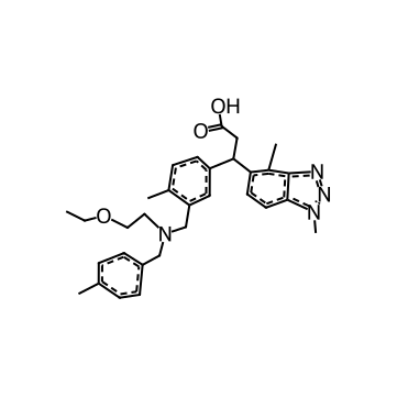 CCOCCN(Cc1ccc(C)cc1)Cc1cc(C(CC(=O)O)c2ccc3c(nnn3C)c2C)ccc1C